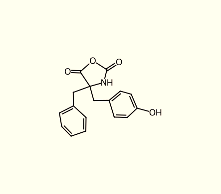 O=C1NC(Cc2ccccc2)(Cc2ccc(O)cc2)C(=O)O1